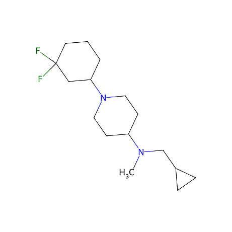 CN(CC1CC1)C1CCN(C2CCCC(F)(F)C2)CC1